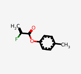 C=C(F)C(=O)Oc1ccc(C)cc1